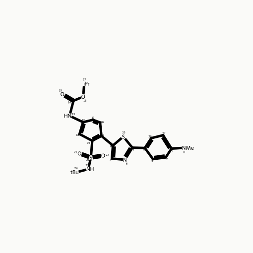 CNc1ccc(-c2ncc(-c3ccc(NC(=O)OC(C)C)cc3S(=O)(=O)NC(C)(C)C)s2)cc1